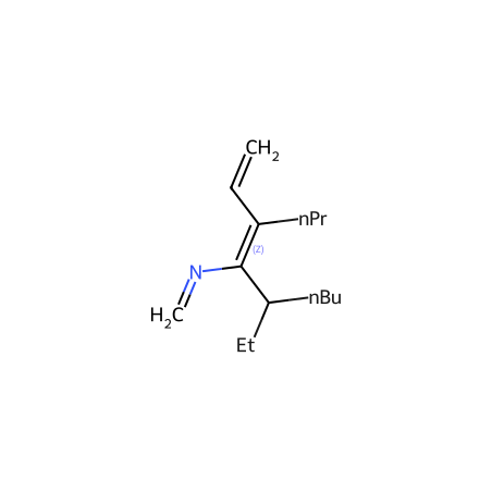 C=C/C(CCC)=C(\N=C)C(CC)CCCC